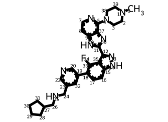 CN1CCN(c2nccc3[nH]c(-c4n[nH]c5ccc(-c6cncc(CNCC7CCCC7)c6)c(F)c45)nc23)CC1